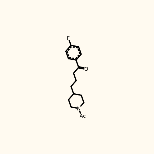 CC(=O)N1CCC(CCCC(=O)c2ccc(F)cc2)CC1